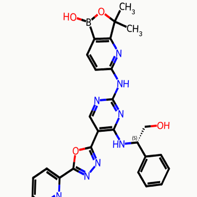 CC1(C)OB(O)c2ccc(Nc3ncc(-c4nnc(-c5ccccn5)o4)c(N[C@H](CO)c4ccccc4)n3)nc21